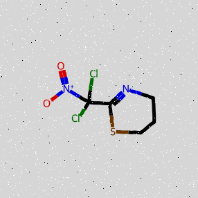 O=[N+]([O-])C(Cl)(Cl)C1=NCCCS1